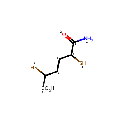 NC(=O)C(S)CCC(S)C(=O)O